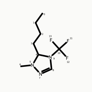 CCCCC1N(C)N=CN1C(F)(F)F